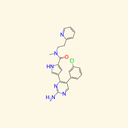 CN(CCc1ccccn1)C(=O)c1cc(-c2nc(N)ncc2-c2cccc(Cl)c2)c[nH]1